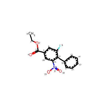 CCOC(=O)c1cc(F)c(-c2ccccc2)c([N+](=O)[O-])c1